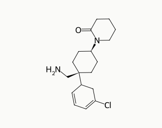 NC[C@]1(C2C=CC=C(Cl)C2)CC[C@H](N2CCCCC2=O)CC1